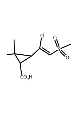 CC1(C)C(C(=O)O)C1C(Cl)=CS(C)(=O)=O